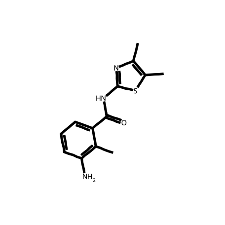 Cc1nc(NC(=O)c2cccc(N)c2C)sc1C